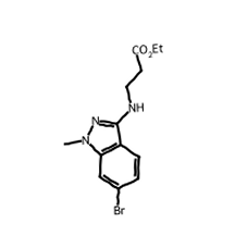 CCOC(=O)CCNc1nn(C)c2cc(Br)ccc12